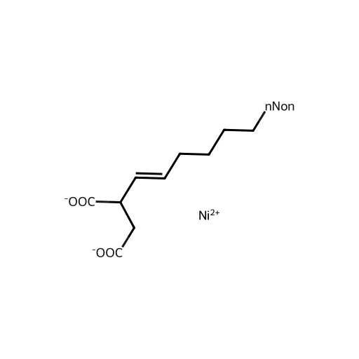 CCCCCCCCCCCCC/C=C/C(CC(=O)[O-])C(=O)[O-].[Ni+2]